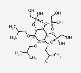 CC(C)CO[C@@H]1[C@@H](OCC(C)C)[C@H](OP(=O)(O)CO)[C@@H](OP(=O)(O)CO)[C@@H](OP(=O)(O)CO)[C@H]1OCC(C)C